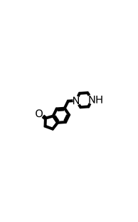 O=C1CCc2ccc(CN3CCNCC3)cc21